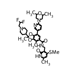 CSc1cc(C)[nH]c(=O)c1CNC(=O)c1cc(-c2ccc(N3CC(C)OC(C)C3)nc2)c2c(c1C)OC(C)(C1CCN(CC(F)F)CC1)O2